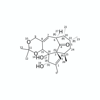 CC1=C[C@]23C(=O)[C@@H](C=C4COC(C)(C)OC4C2(O)[C@H]1O)[C@H](C)[C@H](C)C[C@H]3C